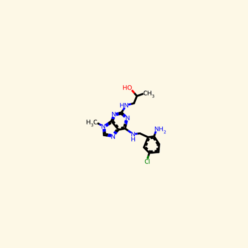 CC(O)CNc1nc(NCc2cc(Cl)ccc2N)c2ncn(C)c2n1